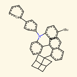 CC(C)(C)c1ccc(N(c2ccc(-c3ccccc3)cc2)c2ccccc2-c2cccc3cccc(C45CC6CC7CC(C4)C765)c23)cc1